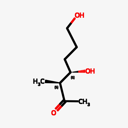 CC(=O)[C@@H](C)[C@@H](O)CCCO